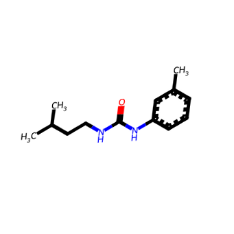 Cc1cccc(NC(=O)NCCC(C)C)c1